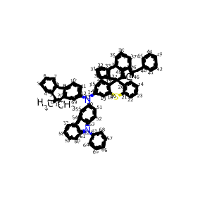 CC1(C)c2ccccc2-c2ccc(N(c3ccc4c(c3)Sc3ccccc3C43c4ccccc4-c4cccc5c(-c6ccccc6)ccc3c45)c3ccc4c(c3)c3ccccc3n4-c3ccccc3)cc21